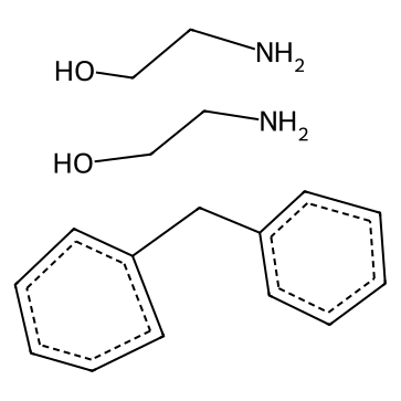 NCCO.NCCO.c1ccc(Cc2ccccc2)cc1